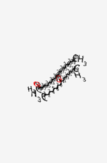 CCCCCCCCCC(=O)CCCCCCCCC.CCCCCCCCCCCCCCCCCCC(C)=O